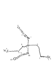 CCC[Si](CCC)(N=C=O)N=C=O